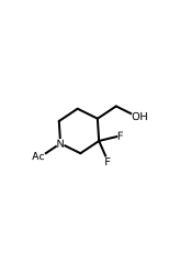 CC(=O)N1CCC(CO)C(F)(F)C1